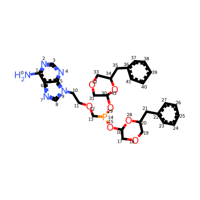 Nc1ncnc2c1ncn2CCOCP(OC1COCC(Cc2ccccc2)O1)OC1COCC(Cc2ccccc2)O1